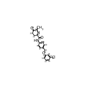 CN1N=C(C(=O)Nc2ccc(COc3cccc(Cl)c3)cn2)CCC1=O